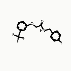 O=C(COc1cccc(C(F)(F)F)c1)NCc1ccc(F)cc1